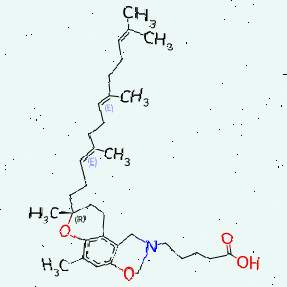 CC(C)=CCC/C(C)=C/CC/C(C)=C/CC[C@]1(C)CCc2c3c(cc(C)c2O1)OCN(CCCCC(=O)O)C3